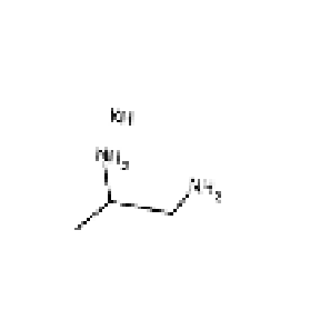 CC(N)CN.[KH]